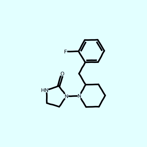 O=C1NCCN1N1CCCCC1Cc1ccccc1F